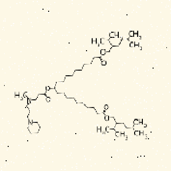 CC(C)CCC(COC(=O)CCCCCCCCCC(CCCCCCCCCC(=O)OCC(CCC(C)C)C(C)C)OC(=O)CCN(C)CCCN1CCCCC1)C(C)C